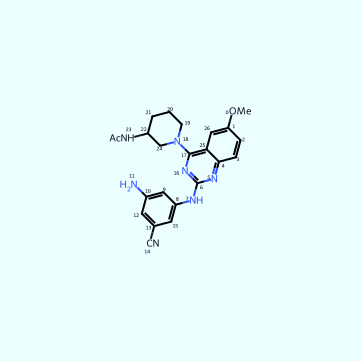 COc1ccc2nc(Nc3cc(N)cc(C#N)c3)nc(N3CCCC(NC(C)=O)C3)c2c1